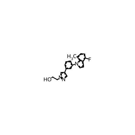 Cc1ccc(F)c2ccn(-c3cccc(-c4cnn(CCO)c4)c3)c12